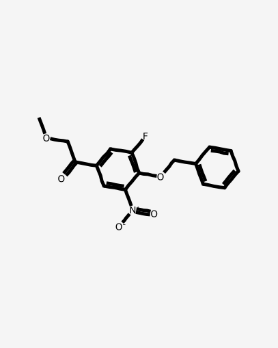 COCC(=O)c1cc(F)c(OCc2ccccc2)c([N+](=O)[O-])c1